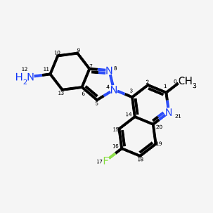 Cc1cc(-n2cc3c(n2)CCC(N)C3)c2cc(F)ccc2n1